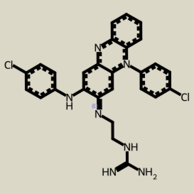 N=C(N)NCC/N=c1\cc2n(-c3ccc(Cl)cc3)c3ccccc3nc-2cc1Nc1ccc(Cl)cc1